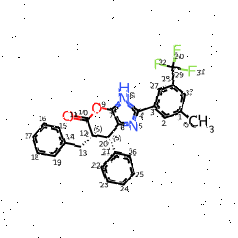 Cc1cc(-c2nc3c([nH]2)OC(=O)[C@@H](Cc2ccccc2)[C@H]3c2ccccc2)cc(C(F)(F)F)c1